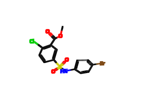 COC(=O)c1cc(S(=O)(=O)Nc2ccc(Br)cc2)ccc1Cl